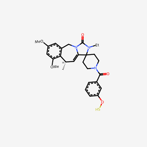 CCN1C(=O)N2Cc3cc(OC)cc(OC)c3[C@@H](C)C=C2C12CCN(C(=O)c1cccc(OS)c1)CC2